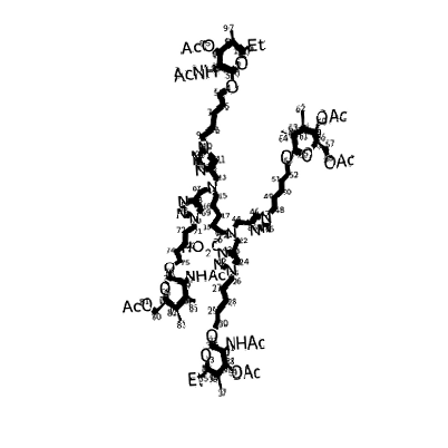 CC[C@H]1O[C@@H](OCCCCCn2cc(CN(CCCC[C@@H](C(=O)O)N(Cc3cn(CCCCCOC4O[C@H](CC)[C@H](C)[C@H](OC(C)=O)[C@H]4NC(C)=O)nn3)Cc3cn(CCCCCO[C@@H]4O[C@H](COC(C)=O)[C@H](OC(C)=O)[C@H](C)[C@H]4C)nn3)Cc3cn(CCCCCO[C@@H]4O[C@H](COC(C)=O)[C@H](C)[C@H](C)[C@H]4NC(C)=O)nn3)nn2)[C@H](NC(C)=O)[C@@H](OC(C)=O)[C@H]1C